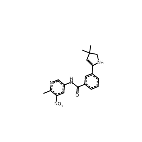 Cc1ncc(NC(=O)c2cccc(C3=CC(C)(C)CN3)c2)cc1[N+](=O)[O-]